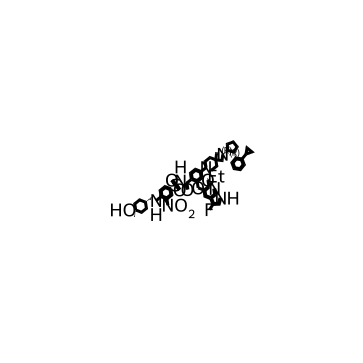 CCOc1nc2[nH]cc(F)c2cc1Oc1cc(N2CCC3(CC2)CN([C@@H]2CCC[C@@H]2c2ccccc2C2CC2)C3)ccc1C(=O)NS(=O)(=O)c1ccc(NC[C@H]2CC[C@](C)(O)CC2)c([N+](=O)[O-])c1